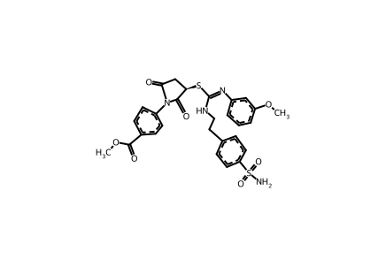 COC(=O)c1ccc(N2C(=O)C[C@@H](S/C(=N/c3cccc(OC)c3)NCCc3ccc(S(N)(=O)=O)cc3)C2=O)cc1